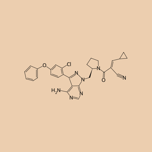 N#C/C(=C\C1CC1)C(=O)N1CCC[C@@H]1Cn1nc(-c2ccc(Oc3ccccc3)cc2Cl)c2c(N)ncnc21